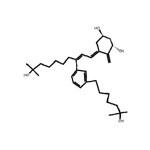 C=C1C(=CC=C(CCCCCC(C)(C)O)c2cccc(CCCCCC(C)(C)O)c2)C[C@@H](O)C[C@@H]1O